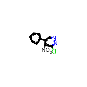 O=[N+]([O-])c1c(-c2ccccc2)cnnc1Cl